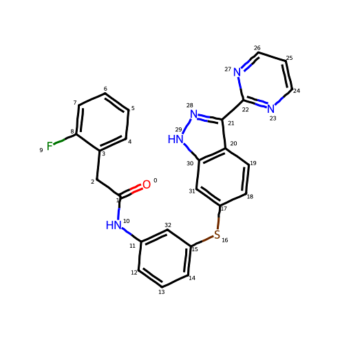 O=C(Cc1ccccc1F)Nc1cccc(Sc2ccc3c(-c4ncccn4)n[nH]c3c2)c1